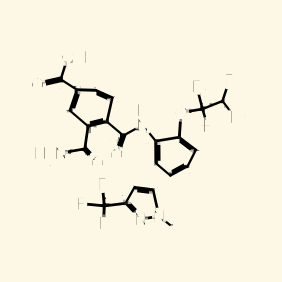 Cn1ccc(C(F)(F)F)n1.NC(=O)c1cc(C(=O)O)ccc1C(=O)Nc1ccccc1OC(F)(F)C(F)F